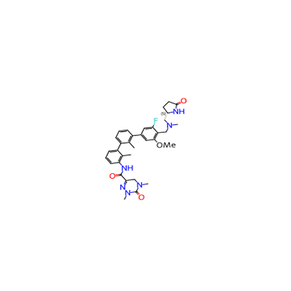 COc1cc(-c2cccc(-c3cccc(NC(=O)C4=NN(C)C(=O)N(C)C4)c3C)c2C)cc(F)c1CN(C)C[C@@H]1CCC(=O)N1